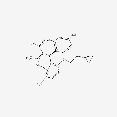 COc1cc(C#N)ccc1[C@@H]1C(C(N)=O)=C(C)Nc2c(C)cnc(OCCC3CC3)c21